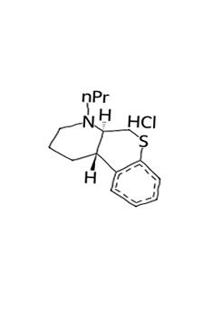 CCCN1CCC[C@H]2c3ccccc3SC[C@@H]21.Cl